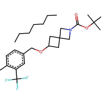 CCCCCCC.Cc1ccc(COC2CC3(C2)CN(C(=O)OC(C)(C)C)C3)cc1C(F)(F)F